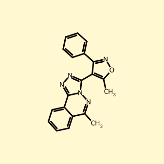 Cc1onc(-c2ccccc2)c1-c1nnc2c3ccccc3c(C)nn12